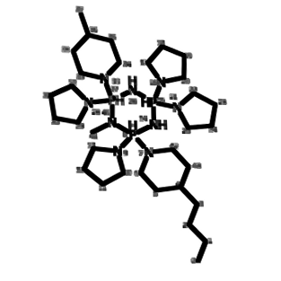 CCCCC1CCN([PH]2(N3CCCC3)N[PH](N3CCCC3)(N3CCCC3)N[PH](N3CCCC3)(N3CCC(C)CC3)N2C)CC1